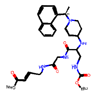 COC(=O)C=CCNC(=O)CNC(=O)C(CNC(=O)OC(C)(C)C)NC1CCN([C@H](C)c2cccc3ccccc23)CC1